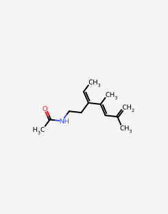 C=C(C)/C=C(C)/C(=C\C)CCNC(C)=O